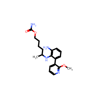 COc1ncccc1-c1cccc(N)c1NC(C)CCCCOC(N)=O